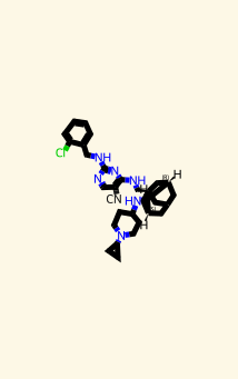 N#Cc1cnc(NCc2ccccc2Cl)nc1NC[C@]12CC3C[C@H](C1)[C@@H](NC1CCN(C4CC4)CC1)[C@@H](C3)C2